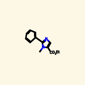 CCOC(=O)c1cnc(-c2ccccc2)n1C